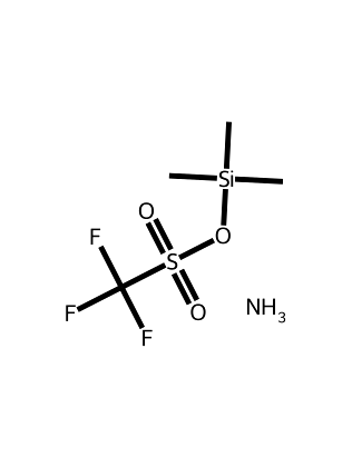 C[Si](C)(C)OS(=O)(=O)C(F)(F)F.N